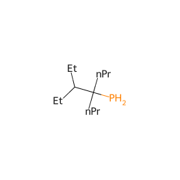 CCCC(P)(CCC)C(CC)CC